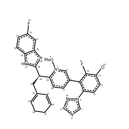 CO[n+]1cc(-c2c(-n3cnnn3)ccc(Cl)c2F)ccc1[C@@H](CC1=CCCC=C1)c1nc2cc(F)ccc2[nH]1